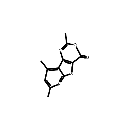 Cc1cc(C)c2c(n1)sc1c(=O)oc(C)nc12